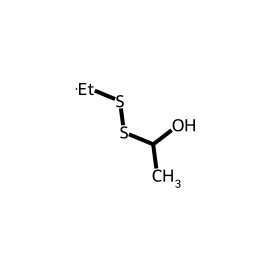 C[CH]SSC(C)O